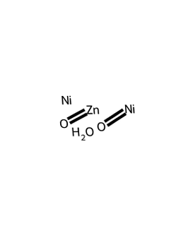 O.[Ni].[O]=[Ni].[O]=[Zn]